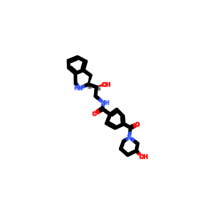 O=C(NC[C@@H](O)[C@@H]1Cc2ccccc2CN1)c1ccc(C(=O)N2CCCC(O)C2)cc1